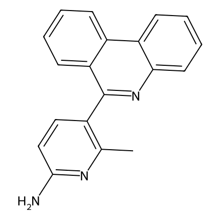 Cc1nc(N)ccc1-c1nc2ccccc2c2ccccc12